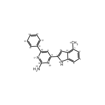 Cc1cccc2[nH]c(-c3cc(-c4ccccc4)nc(N)n3)cc12